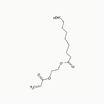 C=CC(=O)OCCOC(=O)CCCCCCCCCCCCCCCCC